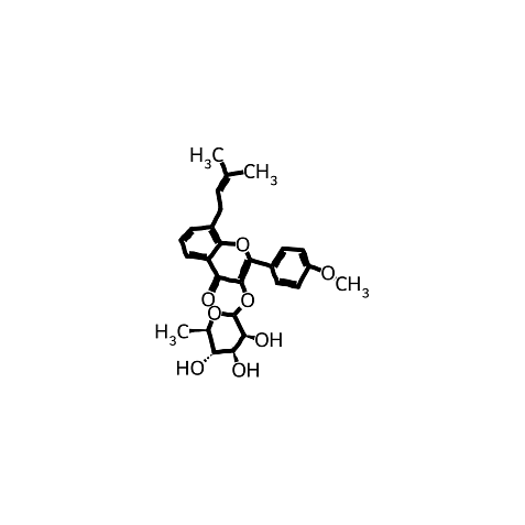 COc1ccc(-c2oc3c(CC=C(C)C)cccc3c(=O)c2OC2O[C@H](C)[C@@H](O)[C@H](O)[C@@H]2O)cc1